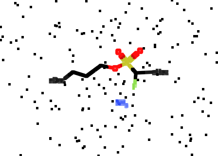 CCCCCCCCCCCCCOS(=O)(=O)C(F)CCCCCC.N